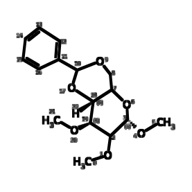 COC1[C@@H](OC)OC2COC(c3ccccc3)O[C@H]2[C@@H]1OC